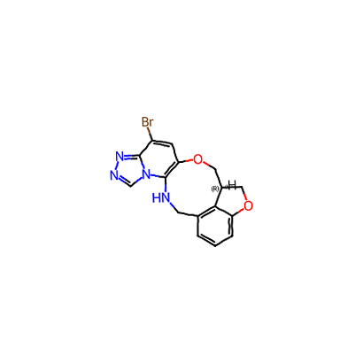 Brc1cc2c(n3cnnc13)NCc1cccc3c1[C@H](CO3)CO2